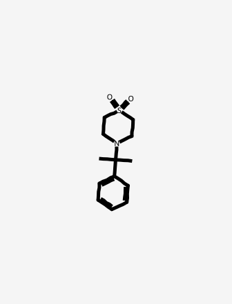 CC(C)(c1ccccc1)N1CCS(=O)(=O)CC1